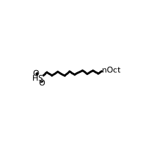 CCCCCCCCCCCCCCCCCC[SH](=O)=O